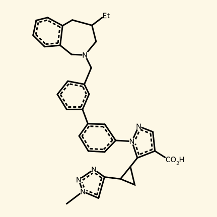 CCC1Cc2ccccc2CN(Cc2cccc(-c3cccc(-n4ncc(C(=O)O)c4C4CC4c4cn(C)nn4)c3)c2)C1